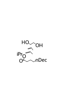 C=CC.C=CC.CCCCCCCCCCCCCC(=O)OC(C)C.OCCO